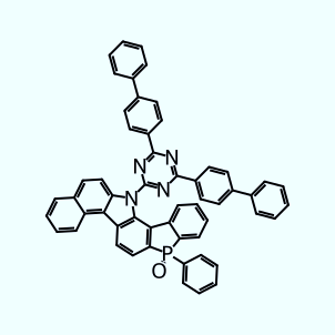 O=P1(c2ccccc2)c2ccccc2-c2c1ccc1c3c4ccccc4ccc3n(-c3nc(-c4ccc(-c5ccccc5)cc4)nc(-c4ccc(-c5ccccc5)cc4)n3)c21